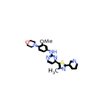 COc1cc(Nc2nccc(-c3sc(-c4cccnc4)nc3C)n2)ccc1N1CCOCC1